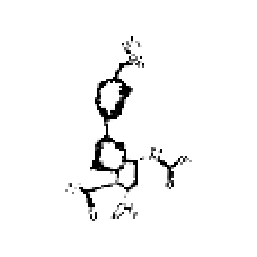 CNCc1ccc(-c2ccc3c(c2)[C@H](NC(=O)O)C[C@H](C)N3C(C)=O)cc1